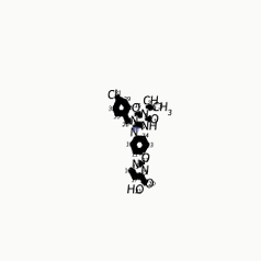 CC(C)n1c(=O)[nH]/c(=N\c2ccc(Oc3nccc(C(=O)O)n3)cc2)n(Cc2ccc(Cl)cc2)c1=O